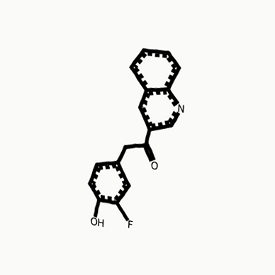 O=C(Cc1ccc(O)c(F)c1)c1cnc2ccccc2c1